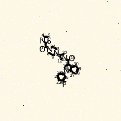 O=C(c1nccs1)N1CCN(C2CN(C(=O)c3cn(-c4cccc(F)c4)c4ccccc34)C2)CC1